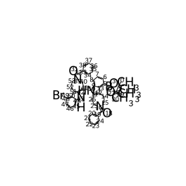 CC1(C)OB(c2cccc3[nH]c4c(c23)CCN(C(=O)c2ccccc2)CC4)OC1(C)C.O=C(c1ccccc1)N1CCc2[nH]c3cccc(Br)c3c2CC1